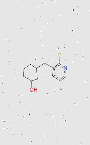 OC1CCCC(Cc2cccnc2F)C1